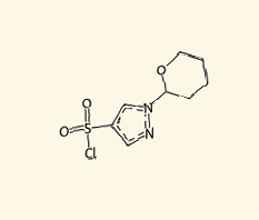 O=S(=O)(Cl)c1cnn(C2CCCCO2)c1